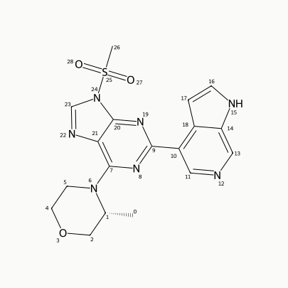 C[C@@H]1COCCN1c1nc(-c2cncc3[nH]ccc23)nc2c1ncn2S(C)(=O)=O